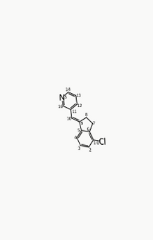 Clc1cccc2c1CC/C2=C\c1cccnc1